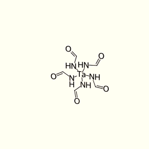 O=C[NH][Ta]([NH]C=O)([NH]C=O)([NH]C=O)[NH]C=O